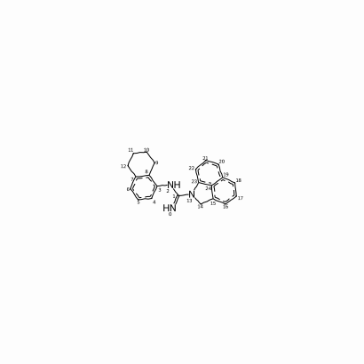 N=C(Nc1cccc2c1CCCC2)N1Cc2cccc3cccc1c23